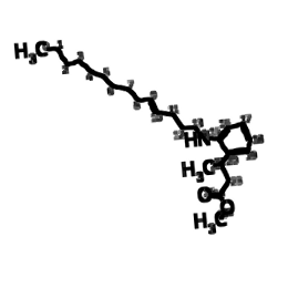 CCCCCCCCC/C=C/CCCNc1ccccc1C(C)CC(=O)OC